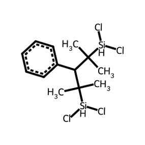 CC(C)(C(c1ccccc1)C(C)(C)[SiH](Cl)Cl)[SiH](Cl)Cl